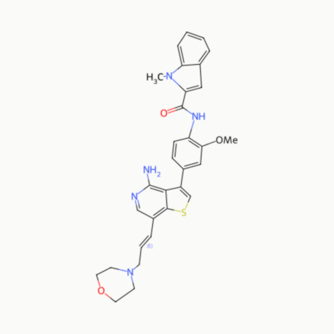 COc1cc(-c2csc3c(/C=C/CN4CCOCC4)cnc(N)c23)ccc1NC(=O)c1cc2ccccc2n1C